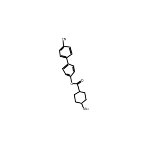 CCCCC1CCC(C(=O)Oc2ccc(-c3ccc(C#N)cc3)cc2)CC1